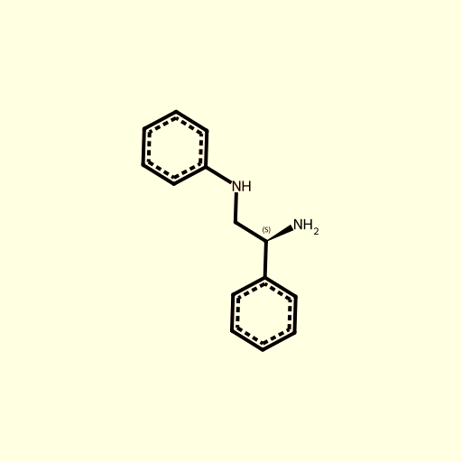 N[C@H](CNc1ccccc1)c1ccccc1